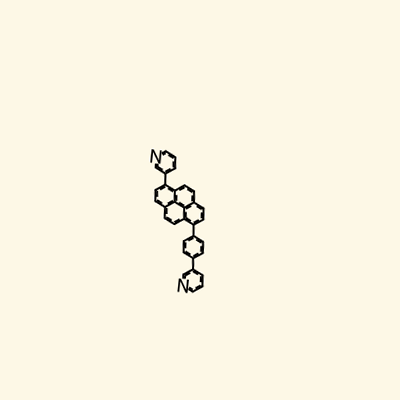 c1cncc(-c2ccc(-c3ccc4ccc5c(-c6cccnc6)ccc6ccc3c4c65)cc2)c1